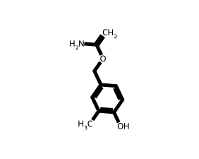 C=C(N)OCc1ccc(O)c(C)c1